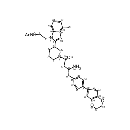 CC(=O)NCCn1c(C2CCCN(C(=O)CC(N)Cc3ccc(-c4ccc5c(c4)OCCO5)cc3)C2)nc2c(C)cccc21